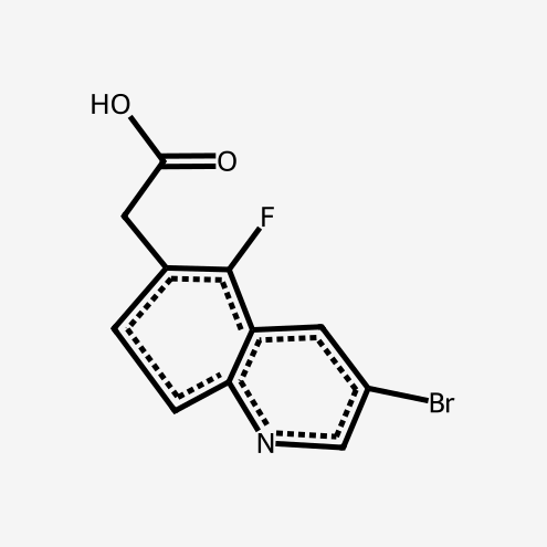 O=C(O)Cc1ccc2ncc(Br)cc2c1F